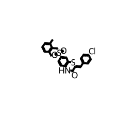 Cc1cccc(C)c1CS(=O)(=O)c1ccc2c(c1)SC(=Cc1ccc(Cl)cc1)C(=O)N2